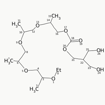 CCOC(C)COC(C)COC(C)COC(C)COC(=O)OCC(CO)CO